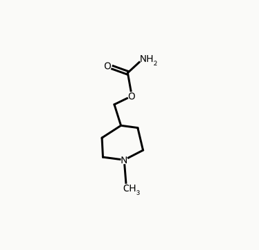 CN1CCC(COC(N)=O)CC1